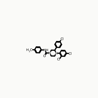 Cc1ccc(NC(=O)N2CCN(c3ccc(Cl)cc3Cl)C(c3ccc(Cl)cc3)C2)cc1